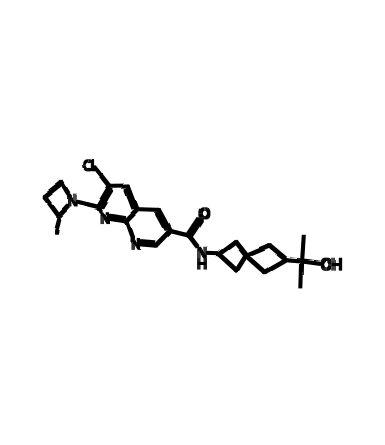 CC1CCN1c1nc2ncc(C(=O)NC3CC4(C3)CC(C(C)(C)O)C4)cc2cc1Cl